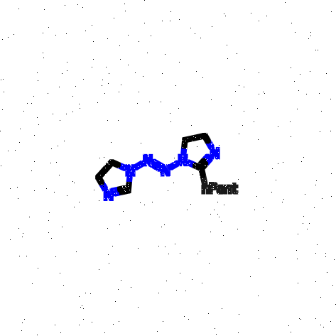 CCCCCC1=NCCN1N=NN1C=NCC1